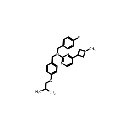 CC(C)COc1ccc(CN(Cc2ccc(F)cc2)c2nccc(C3CN(C)C3)n2)cc1